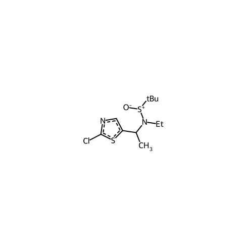 CCN(C(C)c1cnc(Cl)s1)[S+]([O-])C(C)(C)C